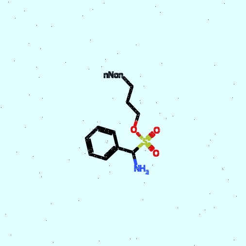 CCCCCCCCCCCCOS(=O)(=O)C(N)c1ccccc1